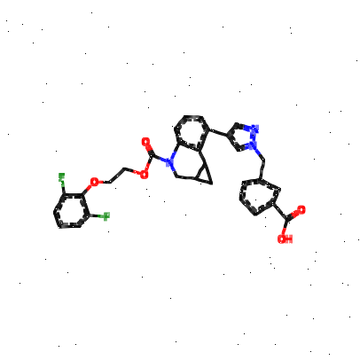 O=C(O)c1cccc(Cn2cc(-c3cccc4c3C3CC3CN4C(=O)OCCOc3c(F)cccc3F)cn2)c1